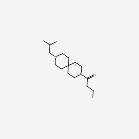 CCCC(=O)N1CCC2(CCN(CC(C)C)CC2)CC1